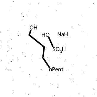 CCCCCCCCO.O=S(=O)(O)O.[NaH]